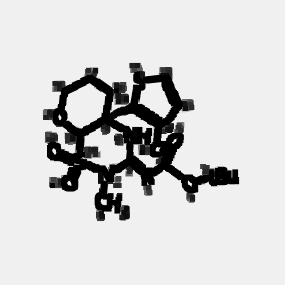 CN1/C(=N/C(=O)OC(C)(C)C)N[C@@]2(c3sccc3Cl)CCCOC2S1(=O)=O